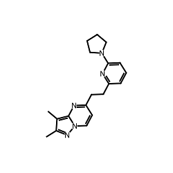 Cc1nn2ccc(CCc3cccc(N4CCCC4)n3)nc2c1C